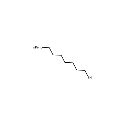 CCCCCCCCCCC[CH]S